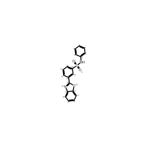 O=S(=O)(Nc1ccccc1)c1cccc(-c2nc3ccccc3o2)c1